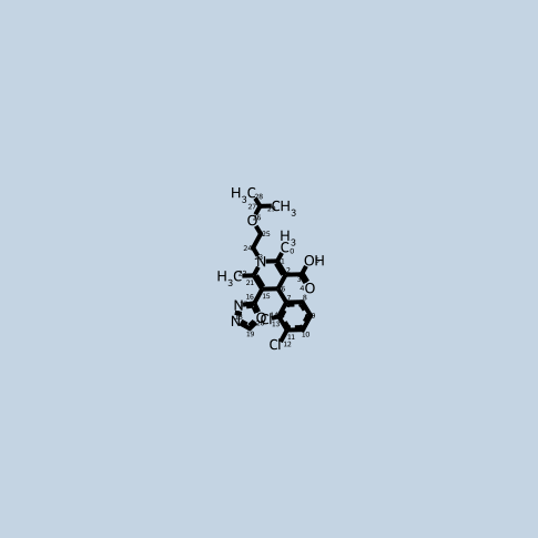 CC1=C(C(=O)O)C(c2cccc(Cl)c2Cl)C(c2nnco2)=C(C)N1CCOC(C)C